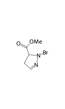 COC(=O)C1CC=NN1Br